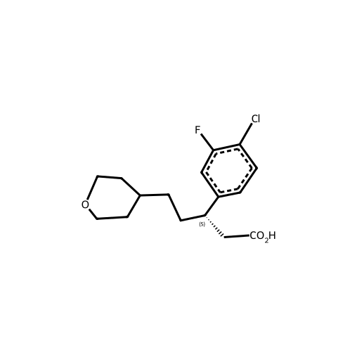 O=C(O)C[C@H](CCC1CCOCC1)c1ccc(Cl)c(F)c1